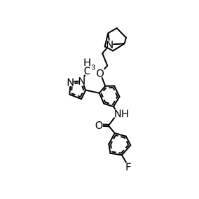 Cn1nccc1-c1cc(NC(=O)c2ccc(F)cc2)ccc1OCCN1C2CCC1CC2